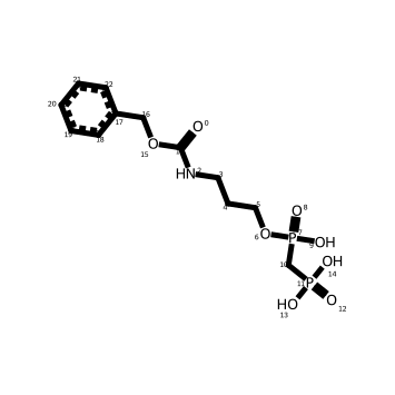 O=C(NCCCOP(=O)(O)CP(=O)(O)O)OCc1ccccc1